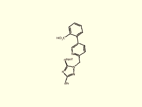 CCCCCc1nc(CCC)nn1Cc1ccc(-c2ccccc2C(=O)O)cn1